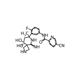 CC1(c2cc(NC(=O)c3ccc(C#N)cn3)ccc2F)CS(O)(O)C2(CNC2)C(=N)N1